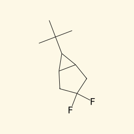 CC(C)(C)C1C2CC(F)(F)CC21